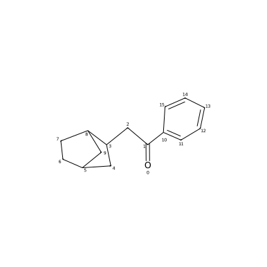 O=C(CC1CC2CCC1C2)c1ccccc1